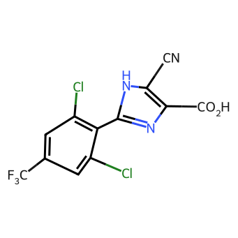 N#Cc1[nH]c(-c2c(Cl)cc(C(F)(F)F)cc2Cl)nc1C(=O)O